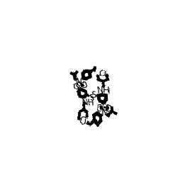 CCc1ccc(N(CC(C)C)S(=O)(=O)c2ccc(NCC3CCOCC3)c(SSc3cc(S(=O)(=O)N(CC(C)C)c4ccc(CC)cc4)ccc3NCC3CCOCC3)c2)cc1